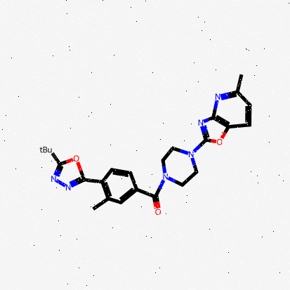 Cc1ccc2oc(N3CCN(C(=O)c4ccc(-c5nnc(C(C)(C)C)o5)c(C)c4)CC3)nc2n1